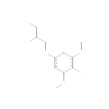 COc1cc(OCC(O)CO)cc(OC)c1O